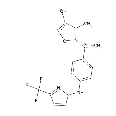 Cc1c(O)noc1[C@H](C)c1ccc(NC2C=CC(C(F)(F)F)=N2)cc1